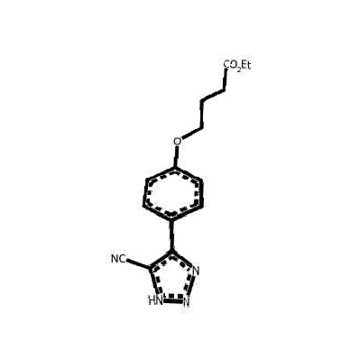 CCOC(=O)CCCOc1ccc(-c2nn[nH]c2C#N)cc1